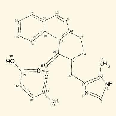 Cc1[nH]cnc1CC1CCc2ccc3ccccc3c2C1=O.O=C(O)/C=C\C(=O)O